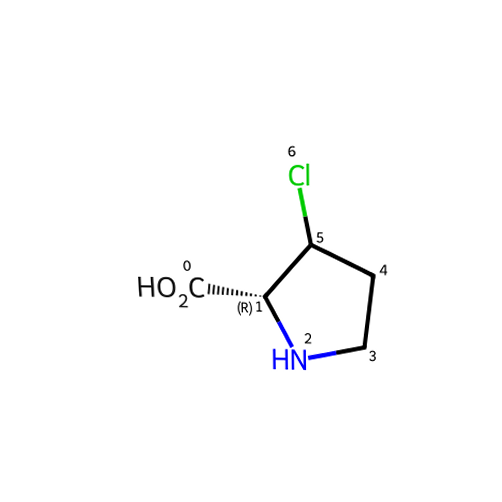 O=C(O)[C@H]1NCCC1Cl